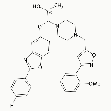 COc1ccccc1-c1cc(CN2CCN(C(Oc3ccc4oc(-c5ccc(F)cc5)nc4c3)[C@@H](C)O)CC2)on1